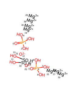 O=P(O)(O)O.O=P(O)(O)O.O=S(=O)(O)O.O=S(=O)(O)O.[Mg+2].[Mg+2].[Mg+2].[Mg+2].[Mg+2].[Mg+2].[Mg+2].[O-2].[O-2]